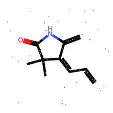 C=C/C=C1\C(=C)NC(=O)C1(C)C